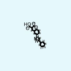 O=C(O)c1cc2cc(-n3cc(-c4ccccc4)nn3)ccc2oc1=O